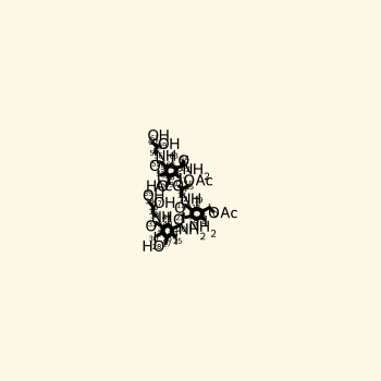 CC(=O)OCc1c(I)c(N)c(I)c(C(=O)NCC(COC(C)=O)OC(C)=O)c1I.NC(=O)c1c(I)c(CO)c(I)c(C(=O)NCC(O)CO)c1I.NC(=O)c1c(I)c(CO)c(I)c(C(=O)NCC(O)CO)c1I